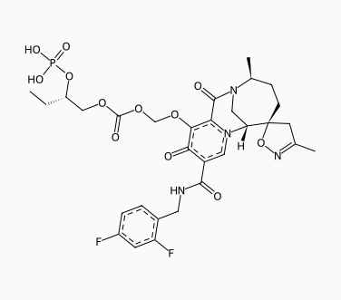 CC[C@@H](COC(=O)OCOc1c2n(cc(C(=O)NCc3ccc(F)cc3F)c1=O)[C@@H]1CN(C2=O)[C@@H](C)CC[C@]12CC(C)=NO2)OP(=O)(O)O